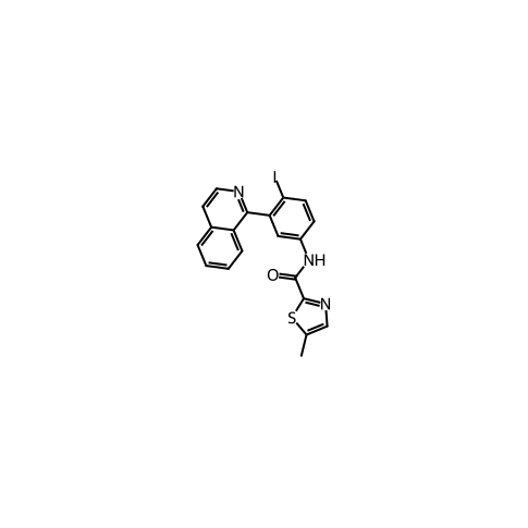 Cc1cnc(C(=O)Nc2ccc(I)c(-c3nccc4ccccc34)c2)s1